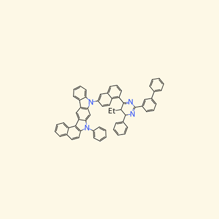 CCC1C(c2cccc3cc(-n4c5ccccc5c5cc6c7c8ccccc8ccc7n(-c7ccccc7)c6cc54)ccc23)=NC(c2cccc(-c3ccccc3)c2)=NC1c1ccccc1